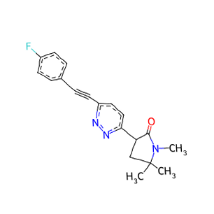 CN1C(=O)C(c2ccc(C#Cc3ccc(F)cc3)nn2)CC1(C)C